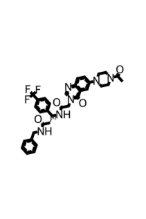 CC(=O)N1CCN(c2ccc3ncn(CC(=O)N[C@H](CC(=O)NCc4ccccc4)c4ccc(C(F)(F)F)cc4)c(=O)c3c2)CC1